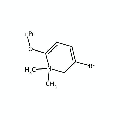 CCCOC1=CC=C(Br)C[N+]1(C)C